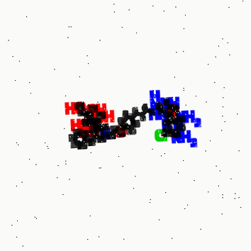 N=C(NCCCCc1ccc(OCCN(CCCc2ccccc2)C[C@H](O)[C@@H](O)[C@H](O)[C@H](O)CO)cc1)NC(=O)c1nc(Cl)c(N)nc1N